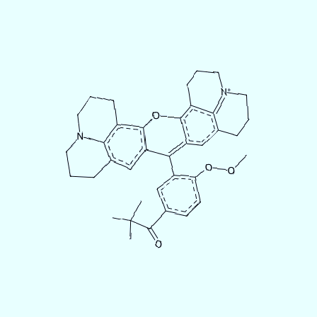 COOc1ccc(C(=O)C(C)(C)C)cc1C1=c2cc3c4c(c2Oc2c1cc1c5c2CCCN5CCC1)CCC[N+]=4CCC3